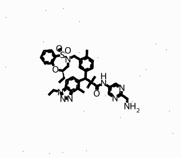 CC[C@@H]1CN(Cc2cc(C(c3ccc4c(nnn4CC)c3C)C(C)(C)C(=O)Nc3cnc(CN)nc3)ccc2C)S(=O)(=O)c2ccccc2O1